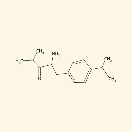 CC(C)C(=O)C(N)Cc1ccc(C(C)C)cc1